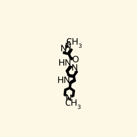 CN1CCC(c2cc3cnc(NC(=O)c4cnn(C)c4)cc3[nH]2)CC1